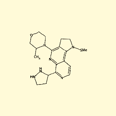 CSN1CCc2c(N3CCOCC3C)nc3c(C4CCNN4)nccc3c21